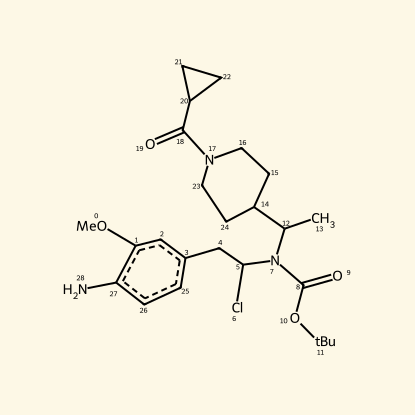 COc1cc(CC(Cl)N(C(=O)OC(C)(C)C)C(C)C2CCN(C(=O)C3CC3)CC2)ccc1N